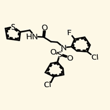 O=C(CCN(c1cc(Cl)ccc1F)S(=O)(=O)c1ccc(Cl)cc1)NCc1cccs1